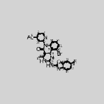 CC(=O)c1ccnc(NC(=O)C2=C(C)NC(Nc3nc4ccc(F)cc4o3)=NC2c2ccccc2Br)c1